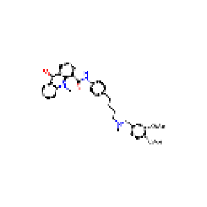 COc1ccc(CN(C)CCCCc2ccc(NC(=O)c3cccc4c(=O)c5ccccc5n(C)c34)cc2)cc1OC